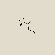 O=NP(=O)(O)C(CCC(=O)O)C(=O)O